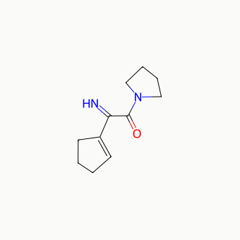 N=C(C(=O)N1CCCC1)C1=CCCC1